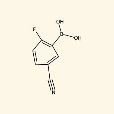 N#Cc1ccc(F)c(B(O)O)c1